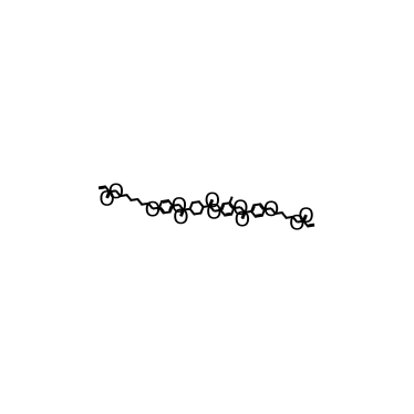 C=CC(=O)OCCCCCCOc1ccc(OC(=O)C2CCC(C(=O)Oc3ccc(OC(=O)c4ccc(OCCCCOC(=O)C=C)cc4)c(C)c3)CC2)cc1